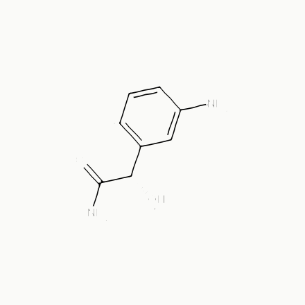 NC(=O)[C@@H](O)c1cccc(N)c1